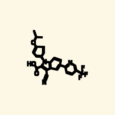 CC(C)Oc1ccc(-n2c(C(=O)O)c(C#N)c3cc(-c4ccc(C(F)(F)F)cn4)ccc32)cc1